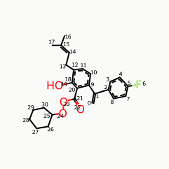 C=C(c1ccc(F)cc1)c1ccc(CC=C(C)C)c(O)c1C(=O)OOC1CCCCC1